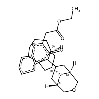 CCOC(=O)Cc1nc2ccccc2n(C2C[C@H]3COC[C@H](C2)N3[C@@H]2CC3CCCC[C@H](C3)C2)c1=O